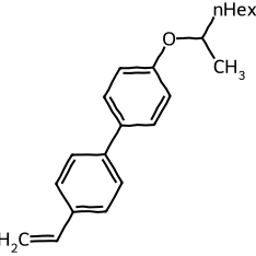 C=Cc1ccc(-c2ccc(OC(C)CCCCCC)cc2)cc1